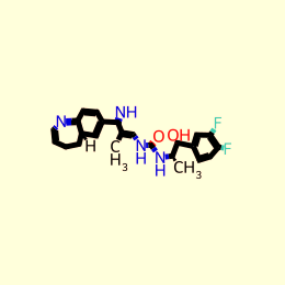 C/C(=C\NC(=O)N[C@H](C)[C@@H](O)c1ccc(F)c(F)c1)C(=N)C1=C[C@@H]2CCC=CN=C2C=C1